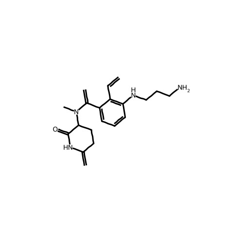 C=Cc1c(NCCCN)cccc1C(=C)N(C)C1CCC(=C)NC1=O